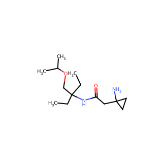 CCC(CC)(COC(C)C)NC(=O)CC1(N)CC1